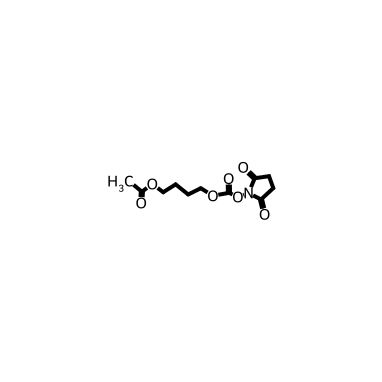 CC(=O)OCCCCOC(=O)ON1C(=O)CCC1=O